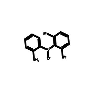 CC(C)c1cccc(C(C)C)c1[S+]([O-])c1ccccc1N